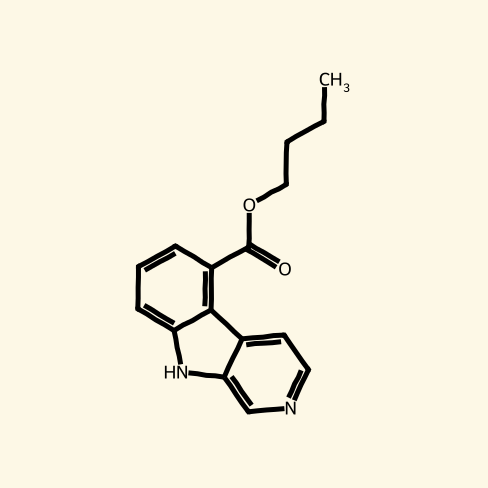 CCCCOC(=O)c1cccc2[nH]c3cnccc3c12